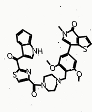 COc1cc(-c2cn(C)c(=O)c3ccsc23)cc(OC)c1CN1CCN(C(=O)c2csc(C(=O)c3c[nH]c4ccccc34)n2)CC1